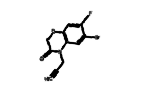 C#CCN1C(=O)COc2cc(F)c(Br)cc21